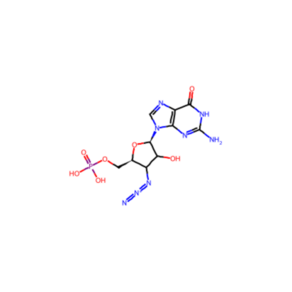 [N-]=[N+]=NC1C(O)[C@H](n2cnc3c(=O)[nH]c(N)nc32)O[C@@H]1COP(=O)(O)O